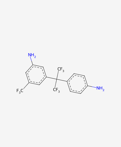 Nc1ccc(C(c2cc(N)cc(C(F)(F)F)c2)(C(F)(F)F)C(F)(F)F)cc1